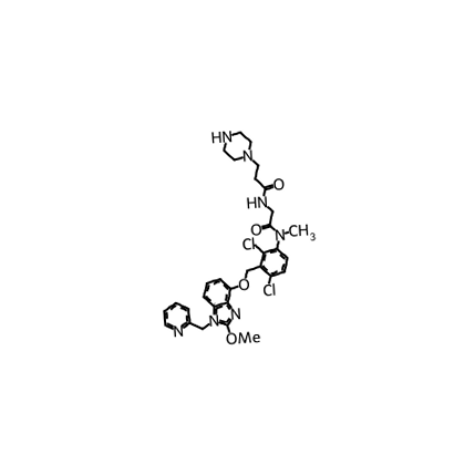 COc1nc2c(OCc3c(Cl)ccc(N(C)C(=O)CNC(=O)CCN4CCNCC4)c3Cl)cccc2n1Cc1ccccn1